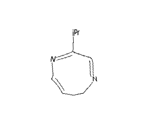 CC(C)C1=NC=CCN=C1